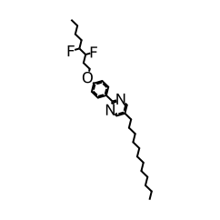 CCCCCCCCCCCCc1cnc(-c2ccc(OCCC(F)C(F)CCCC)cc2)nc1